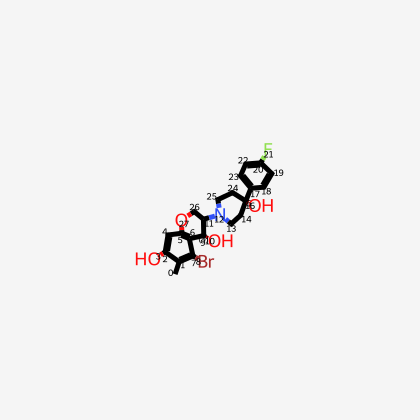 Cc1c(O)cc2c(c1Br)[C@H](O)C(N1CCC(O)(c3ccc(F)cc3)CC1)CO2